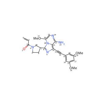 C=CC(=O)N1CCC(c2nc(C#Cc3cc(OC)cc(OC)c3)c3c(N)ncc(OC)n23)C1